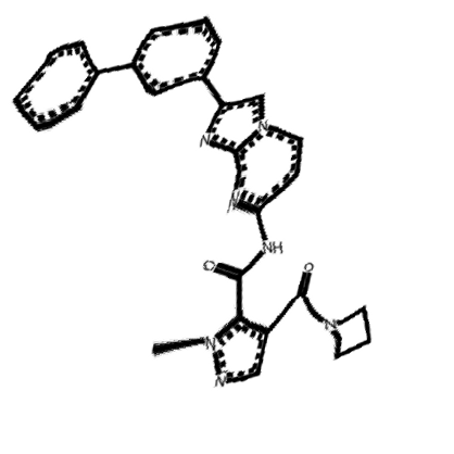 Cn1ncc(C(=O)N2CCC2)c1C(=O)Nc1ccn2cc(-c3cccc(-c4ccccc4)c3)nc2n1